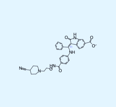 COC(=O)c1ccc2c(c1)NC(=O)/C2=C(/Nc1ccc(C(=O)NOCCN2CCC(C#N)CC2)cc1)c1ccccc1